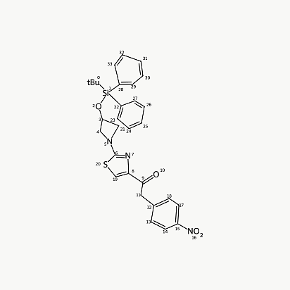 CC(C)(C)[Si](OC1CN(c2nc(C(=O)Cc3ccc([N+](=O)[O-])cc3)cs2)C1)(c1ccccc1)c1ccccc1